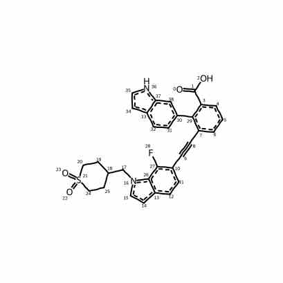 O=C(O)c1cccc(C#Cc2ccc3ccn(CC4CCS(=O)(=O)CC4)c3c2F)c1-c1ccc2cc[nH]c2c1